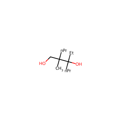 CCCC(C)(CO)C(O)(CC)CCC